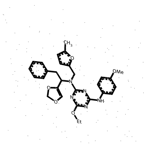 CCOc1nc(Nc2ccc(OC)cc2)nc(N(Cc2ccc(C)o2)C(Cc2ccccc2)C2=COCO2)n1